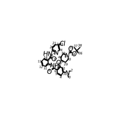 CN(C)c1ccc(C(=O)Nc2ccccc2C(=O)Nc2ccc(Cl)cn2)c(OC2CCN(C(=O)OC(C)(C)C)CC2)c1